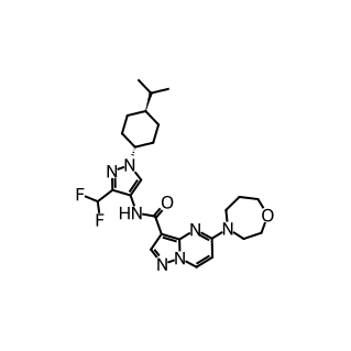 CC(C)[C@H]1CC[C@H](n2cc(NC(=O)c3cnn4ccc(N5CCCOCC5)nc34)c(C(F)F)n2)CC1